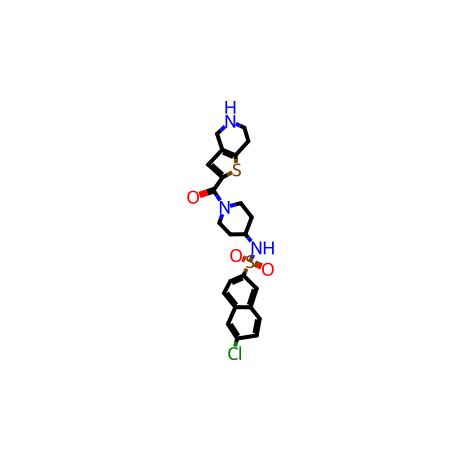 O=C(c1cc2c(s1)CCNC2)N1CCC(NS(=O)(=O)c2ccc3cc(Cl)ccc3c2)CC1